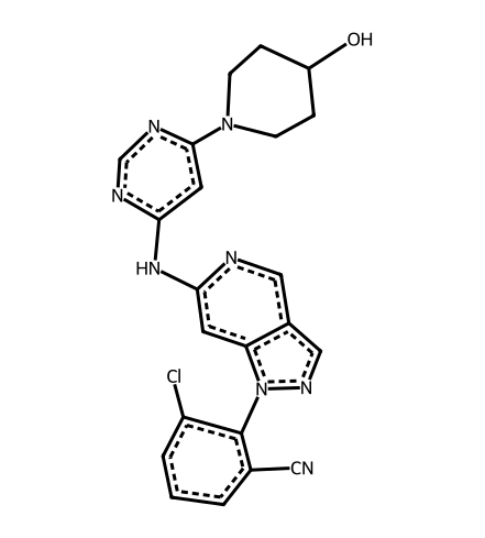 N#Cc1cccc(Cl)c1-n1ncc2cnc(Nc3cc(N4CCC(O)CC4)ncn3)cc21